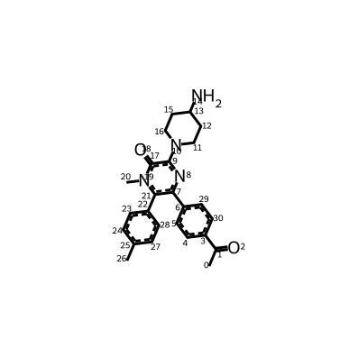 CC(=O)c1ccc(-c2nc(N3CCC(N)CC3)c(=O)n(C)c2-c2ccc(C)cc2)cc1